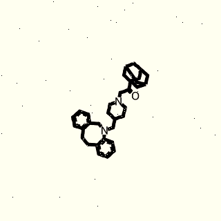 O=C(CN1CCC(CN2Cc3ccccc3CCc3ccccc32)CC1)C12CC3CC(CC(C3)C1)C2